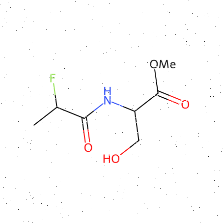 COC(=O)C(CO)NC(=O)C(C)F